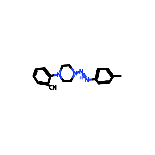 Cc1ccc(/N=N/N2CCN(c3ccccc3C#N)CC2)cc1